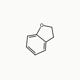 [c]1ccc2c(c1)CCO2